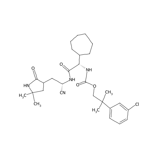 CC1(C)CC(C[C@@H](C#N)NC(=O)[C@@H](NC(=O)OCC(C)(C)c2cccc(Cl)c2)C2CCCCCC2)C(=O)N1